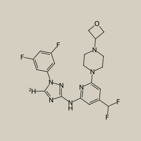 [2H]c1nc(Nc2cc(C(F)F)cc(N3CCN(C4COC4)CC3)n2)nn1-c1cc(F)cc(F)c1